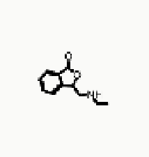 CCNCC1OC(=O)c2ccccc21